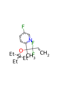 C=CC(F)(F)C(C)(O[Si](CC)(CC)CC)c1ccc(F)cn1